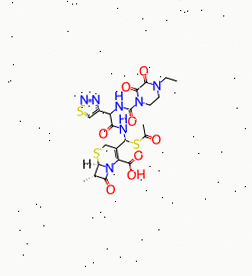 CCN1CCN(C(=O)NC(C(=O)NC(SC(C)=O)C2=C(C(=O)O)N3C(=O)[C@H](C)[C@H]3SC2)c2csnn2)C(=O)C1=O